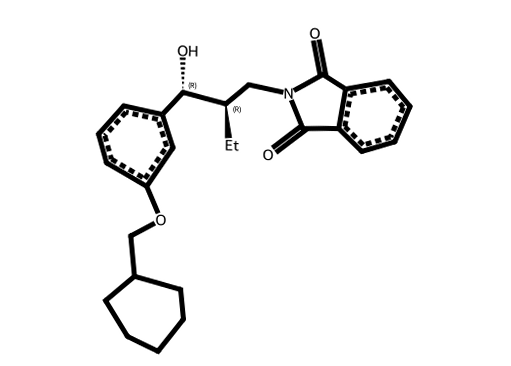 CC[C@H](CN1C(=O)c2ccccc2C1=O)[C@@H](O)c1cccc(OCC2CCCCC2)c1